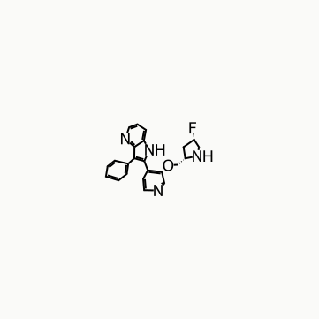 F[C@@H]1CN[C@H](COc2cnccc2-c2[nH]c3cccnc3c2-c2ccccc2)C1